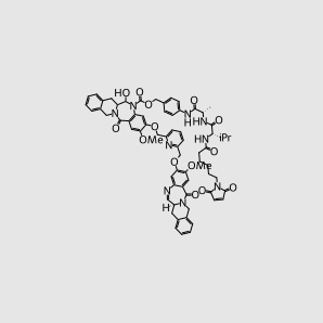 COc1cc2c(cc1OCc1cccc(COc3cc4c(cc3OC)C(=O)N3Cc5ccccc5CC3C(O)N4C(=O)OCc3ccc(NC(=O)[C@H](C)NC(=O)[C@@H](NC(=O)CCCCCN4C(=O)C=CC4=O)C(C)C)cc3)n1)N=C[C@@H]1Cc3ccccc3CN1C2=O